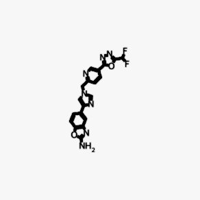 Nc1nc2cc(-c3cn(Cc4ccc(-c5nnc(C(F)F)o5)cn4)cn3)ccc2o1